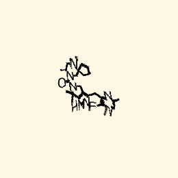 Cc1cnc(F)c(Cc2n[nH]c3c2CN(C(=O)N2CC4(CCCC4)N(C)C[C@@H]2C)C3(C)C)n1